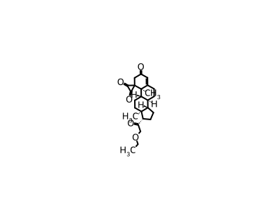 CCOCC(=O)[C@H]1CC[C@H]2[C@@H]3CCC4=CC(=O)CC5(C(=O)C5=O)[C@]4(C)[C@H]3CC[C@]12C